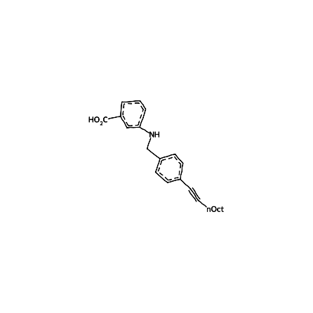 CCCCCCCCC#Cc1ccc(CNc2cccc(C(=O)O)c2)cc1